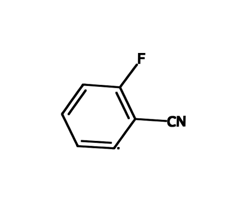 N#Cc1[c]cccc1F